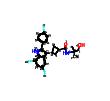 CC(C#N)(CO)NC(=O)[C@H]1C[C@H](c2c(-c3ccc(F)cc3)[nH]c3c(F)cc(F)cc32)C1